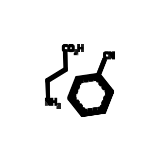 N#Cc1ccccc1.NCCC(=O)O